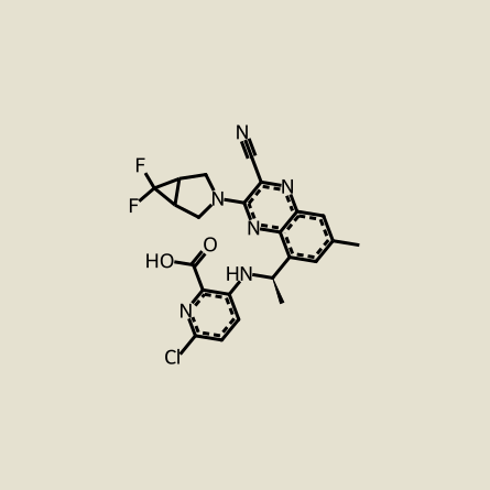 Cc1cc([C@@H](C)Nc2ccc(Cl)nc2C(=O)O)c2nc(N3CC4C(C3)C4(F)F)c(C#N)nc2c1